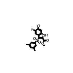 COC(=O)c1[nH]c2cc(Cl)c(F)cc2c1S(=O)(=O)c1cc(C)cc(C)c1